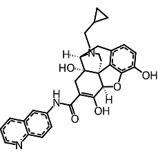 O=C(Nc1ccc2ncccc2c1)C1=C(O)[C@@H]2Oc3c(O)ccc4c3[C@@]23CCN(CC2CC2)[C@H](C4)[C@]3(O)C1